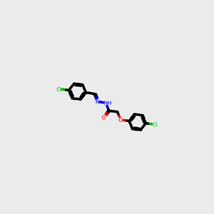 O=C(COc1ccc(Cl)cc1)N/N=C/c1ccc(Cl)cc1